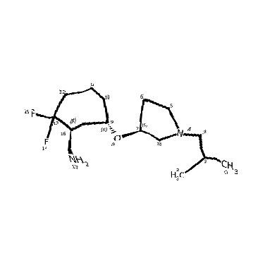 CC(C)CN1CC[C@H](O[C@H]2CCCC(F)(F)[C@@H]2N)C1